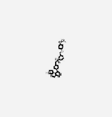 O=S(=O)(CC1CCC(c2cnnc3cnc4[nH]ccc4c23)CC1)N1CCCC(COc2ccc(OC(F)(F)F)cc2)C1